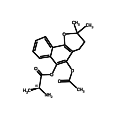 CC(=O)Oc1c2c(c3ccccc3c1OC(=O)[C@H](C)N)OC(C)(C)CC2